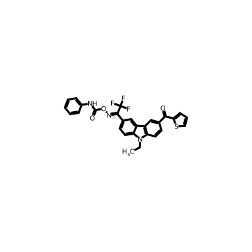 CCn1c2ccc(C(=O)c3cccs3)cc2c2cc(/C(=N/OC(=O)Nc3ccccc3)C(F)(F)F)ccc21